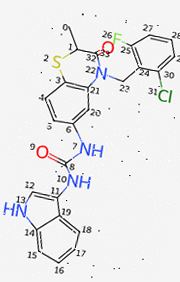 CC1Sc2ccc(NC(=O)Nc3c[nH]c4ccccc34)cc2N(Cc2c(F)cccc2Cl)C1=O